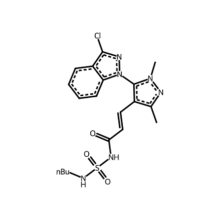 CCCCNS(=O)(=O)NC(=O)/C=C/c1c(C)nn(C)c1-n1nc(Cl)c2ccccc21